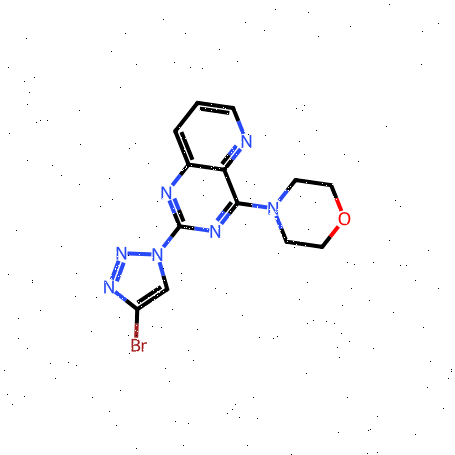 Brc1cn(-c2nc(N3CCOCC3)c3ncccc3n2)nn1